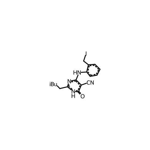 CCC(C)Cc1nc(Nc2ccccc2CI)c(C#N)c(=O)[nH]1